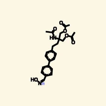 CC(=O)NC(CCc1ccc(-c2ccc(/C=N\O)cc2)cc1)(COC(C)=O)COC(C)=O